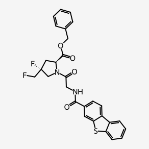 O=C(NCC(=O)N1C[C@@](F)(CF)C[C@H]1C(=O)OCc1ccccc1)c1ccc2c(c1)sc1ccccc12